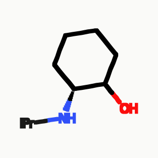 CC(C)N[C@@H]1CCCCC1O